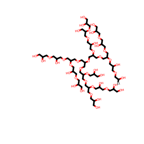 CCC(O)COCC(O)COC(COCC(O)COCC(O)CO)COCC(COC(COCC(COCC(COCC(O)CO)OCC(O)COCC(O)CO)OCC(O)CO)COCC(COCC(O)COCC(O)CO)OCC(O)COCC(O)CO)OCC(O)COCC(CO)OCC(O)CO